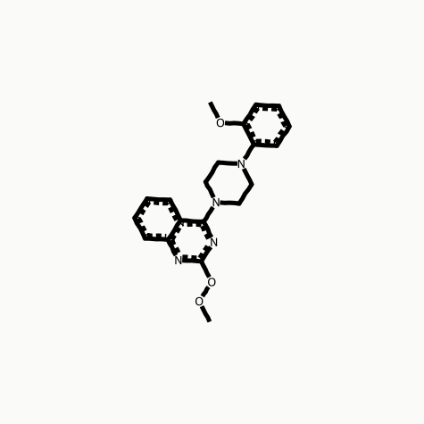 COOc1nc(N2CCN(c3ccccc3OC)CC2)c2ccccc2n1